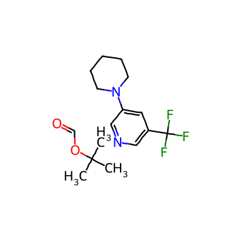 CC(C)(C)OC=O.FC(F)(F)c1cncc(N2CCCCC2)c1